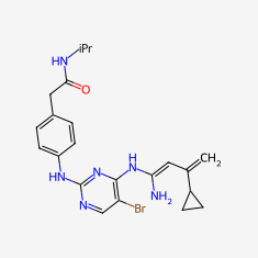 C=C(/C=C(\N)Nc1nc(Nc2ccc(CC(=O)NC(C)C)cc2)ncc1Br)C1CC1